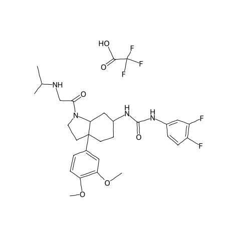 COc1ccc(C23CCC(NC(=O)Nc4ccc(F)c(F)c4)CC2N(C(=O)CNC(C)C)CC3)cc1OC.O=C(O)C(F)(F)F